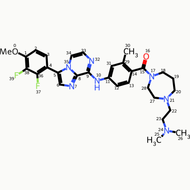 COc1ccc(-c2cnc3c(Nc4ccc(C(=O)N5CCCN(CCN(C)C)CC5)c(C)c4)nccn23)c(F)c1F